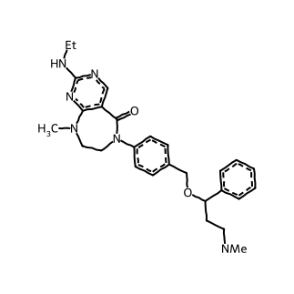 CCNc1ncc2c(n1)N(C)CCN(c1ccc(COC(CCNC)c3ccccc3)cc1)C2=O